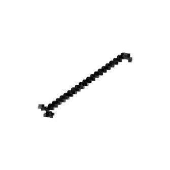 C=C=C=C=C=C=C=C=C=C=C=C=C=C=C=C=C=C=C=C=C(I)C(C)C